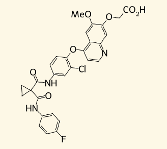 COc1cc2c(Oc3ccc(NC(=O)C4(C(=O)Nc5ccc(F)cc5)CC4)cc3Cl)ccnc2cc1OCC(=O)O